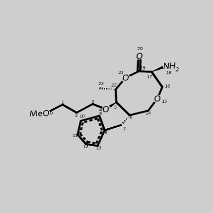 COCCCO[C@@H]1[C@@H](Cc2ccccc2)COC[C@H](N)C(=O)O[C@H]1C